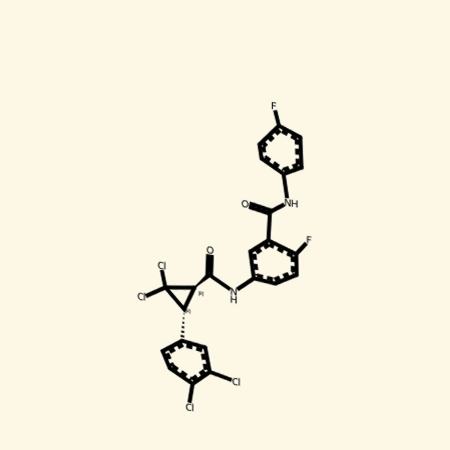 O=C(Nc1ccc(F)cc1)c1cc(NC(=O)[C@H]2[C@H](c3ccc(Cl)c(Cl)c3)C2(Cl)Cl)ccc1F